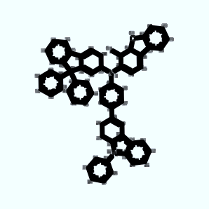 IC1C(N(c2ccc(C3=Cc4c(n(-c5ccccc5)c5ccccc45)CC3)cc2)C2C=C3C(=CC2)c2ccccc2C3(c2ccccc2)c2ccccc2)=CC=C2c3ccccc3OC21